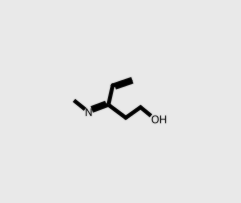 C=C/C(CCO)=N\C